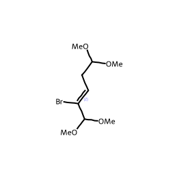 COC(C/C=C(\Br)C(OC)OC)OC